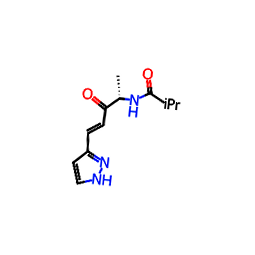 CC(C)C(=O)N[C@@H](C)C(=O)/C=C/c1cc[nH]n1